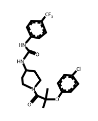 CC(C)(Oc1ccc(Cl)cc1)C(=O)N1CCC(NC(=O)Nc2ccc(C(F)(F)F)cc2)CC1